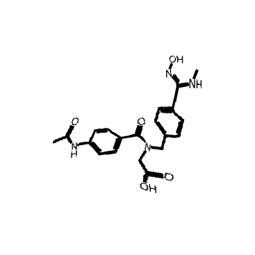 CN/C(=N\O)c1ccc(CN(CC(=O)O)C(=O)c2ccc(NC(C)=O)cc2)cc1